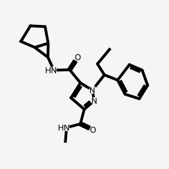 CCC(c1ccccc1)n1nc(C(=O)NC)cc1C(=O)NC1C2CCCC21